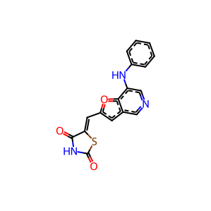 O=C1NC(=O)/C(=C/c2cc3cncc(Nc4ccccc4)c3o2)S1